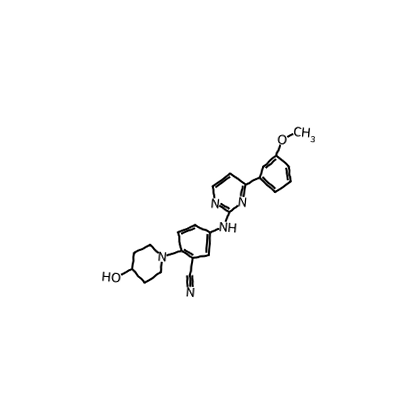 COc1cccc(-c2ccnc(Nc3ccc(N4CCC(O)CC4)c(C#N)c3)n2)c1